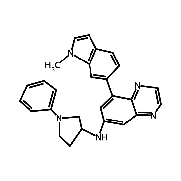 Cn1ccc2ccc(-c3cc(NC4CCN(c5ccccc5)C4)cc4nccnc34)cc21